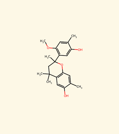 COc1cc(C)c(O)cc1C1(C)CC(C)(C)c2cc(O)c(C)cc2O1